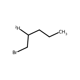 [2H]C(CBr)CCC